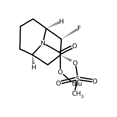 CC(C)(C)OC(=O)N1[C@@H]2CCC[C@H]1[C@H](F)[C@H](OS(C)(=O)=O)C2